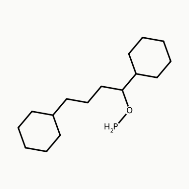 POC(CCCC1CCCCC1)C1CCCCC1